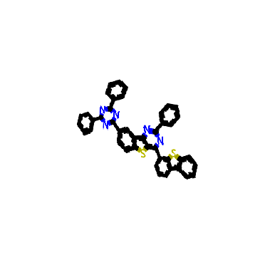 c1ccc(-c2nc(-c3ccccc3)nc(-c3ccc4sc5c(-c6cccc7c6sc6ccccc67)nc(-c6ccccc6)nc5c4c3)n2)cc1